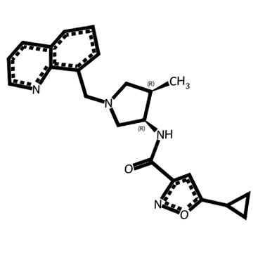 C[C@@H]1CN(Cc2cccc3cccnc23)C[C@@H]1NC(=O)c1cc(C2CC2)on1